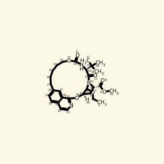 CCOC1[C@H]2C[C@@H](C(=O)OC)N1C(=O)[C@H](C(C)(C)C)NC(=O)OCCCCCc1ccc3ccnc(c3c1)O2